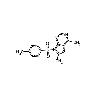 Cc1ccc(S(=O)(=O)n2c(C)cc3c(C)ncnc32)cc1